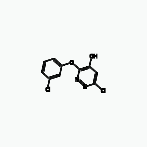 Oc1cc(Cl)nnc1Oc1cccc(Cl)c1